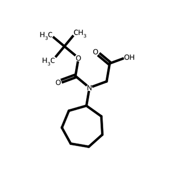 CC(C)(C)OC(=O)N(CC(=O)O)C1CCCCCC1